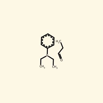 CCC=O.CCN(CC)c1ccccc1